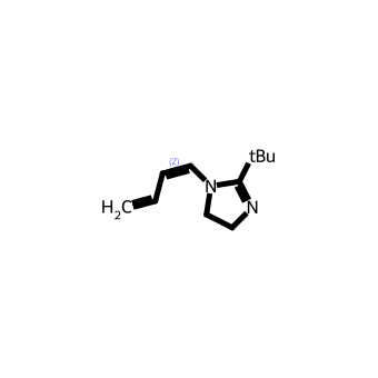 C=C/C=C\N1CCN=C1C(C)(C)C